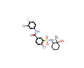 CC1(O)CCCCC1NS(=O)(=O)c1cc(C(=O)Nc2ccc(F)c(Cl)c2)ccc1Cl